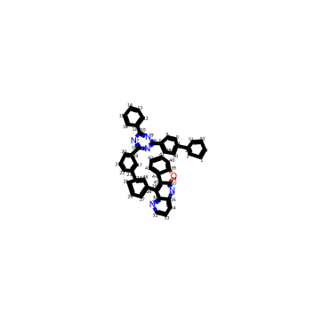 c1ccc(-c2ccc(-c3nc(-c4ccccc4)nc(-c4cccc(-c5cccc(-c6c7ncccc7nc7oc8ccccc8c67)c5)c4)n3)cc2)cc1